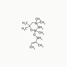 CC=C(C)[SiH2]O[Si]1(C)OC(C)(C)C[Si](C)(C)[SiH2]1